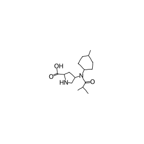 CC1CCC(N(C(=O)C(C)C)C2CNC(C(=O)O)C2)CC1